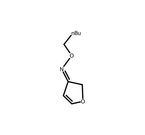 CCCCCON=C1C=COC1